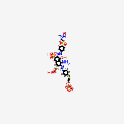 CN(CCS(=O)(=O)c1ccc(N=Nc2c(S(=O)(=O)O)cc3cc(SOOO)c(N=Nc4ccc(SC#COOS(=O)(=O)O)cc4)c(N)c3c2O)cc1)N=O